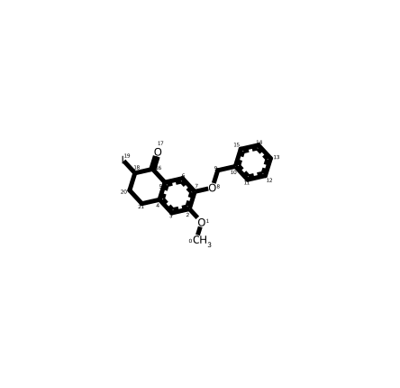 COc1cc2c(cc1OCc1ccccc1)C(=O)C(I)CC2